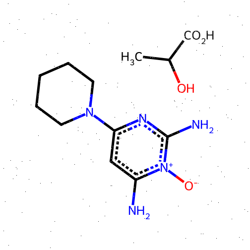 CC(O)C(=O)O.Nc1cc(N2CCCCC2)nc(N)[n+]1[O-]